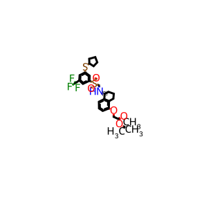 CC(C)(C)OC(=O)COc1cccc2c1CCC[C@H]2NCS(=O)(=O)c1cc(SC2CCCC2)cc(C(F)(F)F)c1